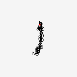 Cc1ccc(CC(N=C=O)C(=O)OCCOCC(=O)OCOC(=O)COCCOC(=O)C(Cc2ccc(OC#N)cc2)N=C=O)cc1